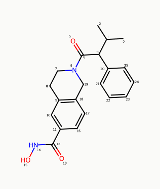 CC(C)C(C(=O)N1CCc2cc(C(=O)NO)ccc2C1)c1ccccc1